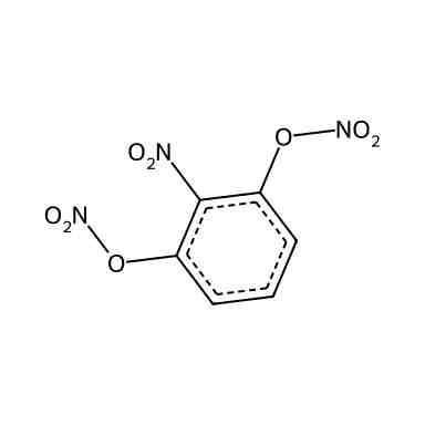 O=[N+]([O-])Oc1cccc(O[N+](=O)[O-])c1[N+](=O)[O-]